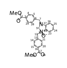 COC(=O)c1ccc(CN2C[N+]([O-])(Cc3ccc(C(=O)OC)cc3)c3ccccc32)cc1